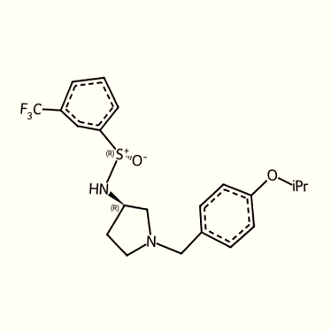 CC(C)Oc1ccc(CN2CC[C@@H](N[S@@+]([O-])c3cccc(C(F)(F)F)c3)C2)cc1